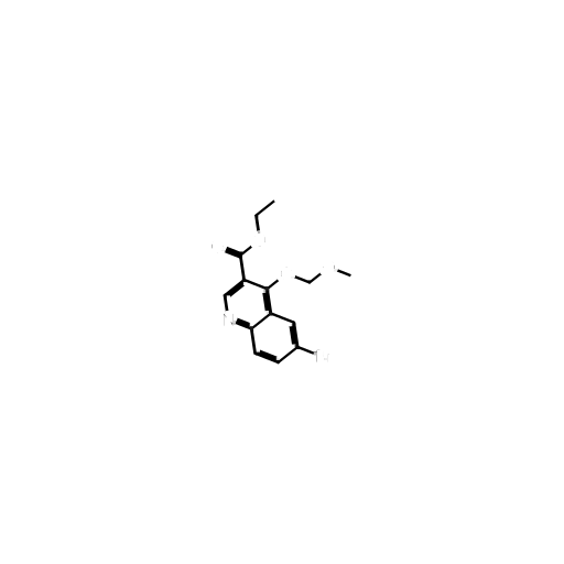 CCOC(=O)c1cnc2ccc(Br)cc2c1OCOC